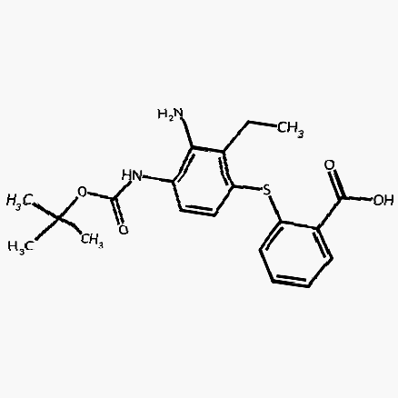 CCc1c(Sc2ccccc2C(=O)O)ccc(NC(=O)OC(C)(C)C)c1N